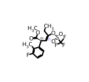 CC/C(=C\[C@H](C(=O)OC)c1cccc(F)c1C)OS(=O)(=O)C(F)(F)F